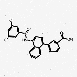 O=C(O)c1cccc(-c2ccc(N[S+]([O-])c3cc(Cl)cc(Cl)c3)c3ccccc23)c1